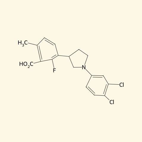 Cc1ccc(C2CCN(c3ccc(Cl)c(Cl)c3)C2)c(F)c1C(=O)O